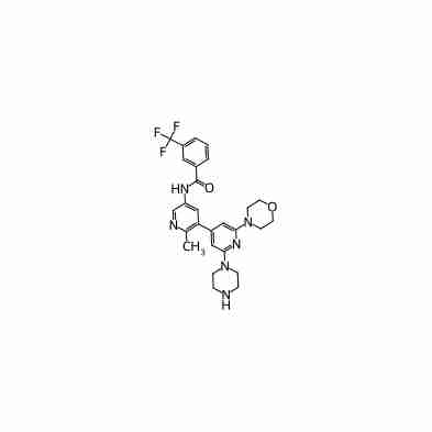 Cc1ncc(NC(=O)c2cccc(C(F)(F)F)c2)cc1-c1cc(N2CCNCC2)nc(N2CCOCC2)c1